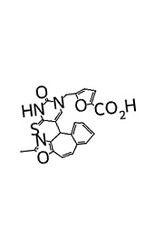 Cc1nc2c(o1)C=Cc1ccccc1C2c1cn(Cc2ccc(C(=O)O)o2)c(=O)[nH]c1=S